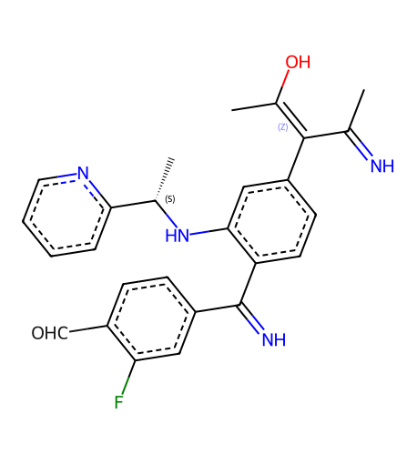 CC(=N)/C(=C(/C)O)c1ccc(C(=N)c2ccc(C=O)c(F)c2)c(N[C@@H](C)c2ccccn2)c1